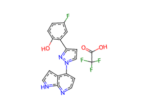 O=C(O)C(F)(F)F.Oc1ccc(F)cc1-c1ccn(-c2ccnc3[nH]ccc23)n1